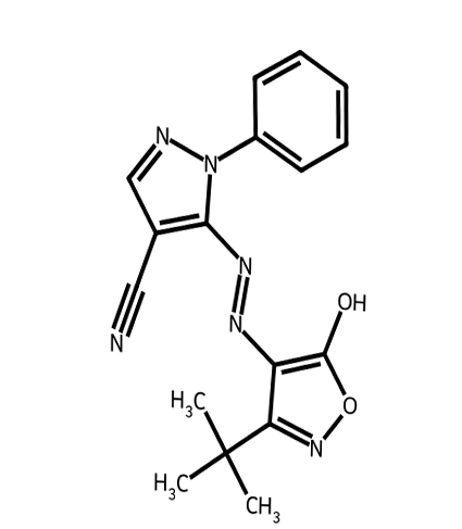 CC(C)(C)c1noc(O)c1N=Nc1c(C#N)cnn1-c1ccccc1